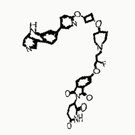 O=C1CCC(N2C(=O)c3ccc(OCC(F)CCN4CCC(O[C@H]5C[C@H](Oc6ccc(-c7ccc8c(c7)[nH]c7ccncc78)cn6)C5)CC4)cc3C2=O)C(=O)N1